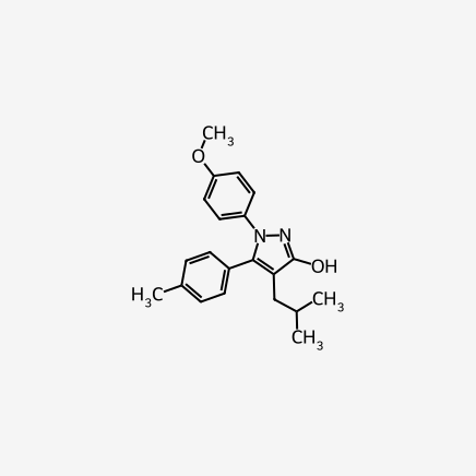 COc1ccc(-n2nc(O)c(CC(C)C)c2-c2ccc(C)cc2)cc1